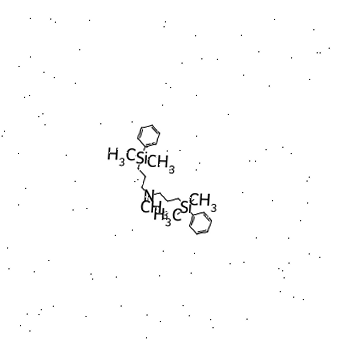 CN(CCC[Si](C)(C)c1ccccc1)CCC[Si](C)(C)c1ccccc1